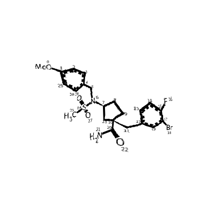 COc1ccc(CN([C@H]2CC[C@](Cc3ccc(F)c(Br)c3)(C(N)=O)C2)S(C)(=O)=O)cc1